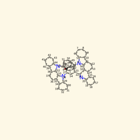 c1ccc(-n2c3ccccc3c3ccc4c5ccccc5nc(-c5cccc(-n6c7ccccc7c7ccc8c9ccccc9n(-c9ccccc9)c8c76)c5)c4c32)cc1